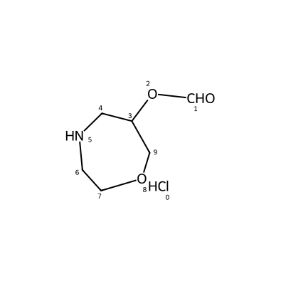 Cl.O=COC1CNCCOC1